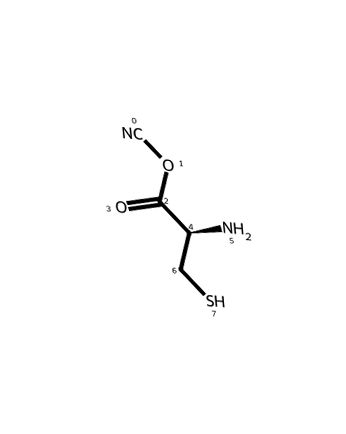 N#COC(=O)[C@@H](N)CS